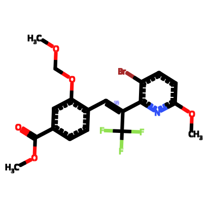 COCOc1cc(C(=O)OC)ccc1/C=C(/c1nc(OC)ccc1Br)C(F)(F)F